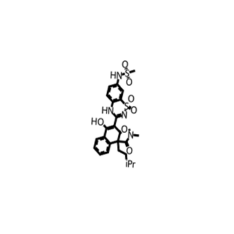 CC(C)CCC1(C(=O)N(C)C)C(=O)C(C2=NS(=O)(=O)c3cc(NS(C)(=O)=O)ccc3N2)=C(O)c2ccccc21